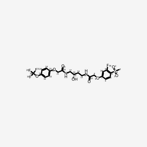 CS(=O)(=O)c1ccc(OCC(=O)NCC[C@H](O)CNC(=O)COc2ccc(OC(F)(F)F)cc2)cc1F